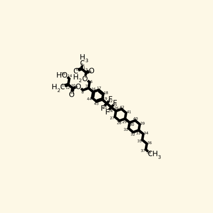 C=C(C)C(=O)OCC(COC(=O)C(=C)CO)c1ccc(C(F)(F)C(F)(F)C2CCC(C3CCC(CCCCC)CC3)CC2)cc1